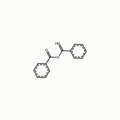 N=C(OC(=O)c1ccccc1)c1ccccc1